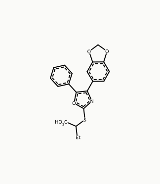 CCC(Sc1nc(-c2ccc3c(c2)OCO3)c(-c2ccccc2)o1)C(=O)O